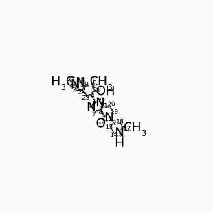 Cc1c(O)c(-c2ncc3c(=O)n(C4CCNC(C)C4)ccc3n2)cc2cn(C)nc12